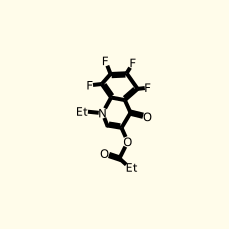 CCC(=O)Oc1cn(CC)c2c(F)c(F)c(F)c(F)c2c1=O